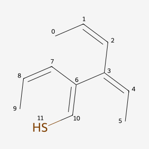 C\C=C/C(=C/C)C(/C=C\C)=C/S